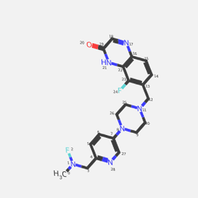 CN(F)Cc1ccc(N2CCN(Cc3ccc4ncc(=O)[nH]c4c3F)CC2)cn1